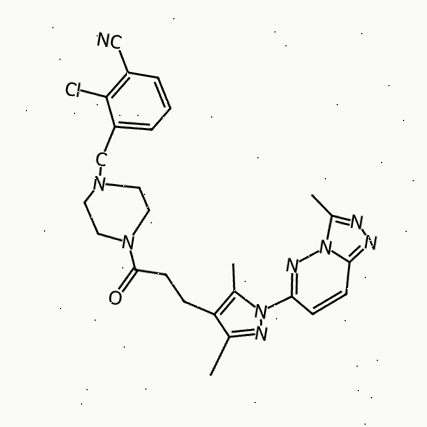 Cc1nn(-c2ccc3nnc(C)n3n2)c(C)c1CCC(=O)N1CCN(Cc2cccc(C#N)c2Cl)CC1